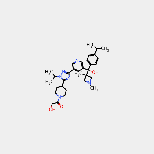 CC(C)c1ccc([C@](O)(c2cncc(-c3nc(C4CCN(C(=O)CO)CC4)n(C(C)C)n3)c2)C2(C)CN(C)C2)cc1